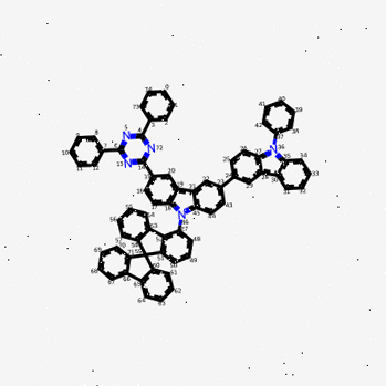 c1ccc(-c2nc(-c3ccccc3)nc(-c3ccc4c(c3)c3cc(-c5ccc6c(c5)c5ccccc5n6-c5ccccc5)ccc3n4-c3cccc4c3-c3ccccc3C43c4ccccc4-c4ccccc43)n2)cc1